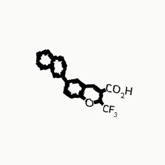 O=C(O)C1=Cc2cc(-c3ccc4ccccc4c3)ccc2OC1C(F)(F)F